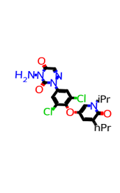 CCCc1cc(Oc2c(Cl)cc(-n3ncc(=O)n(N)c3=O)cc2Cl)cn(C(C)C)c1=O